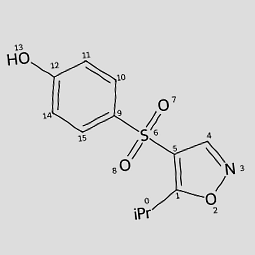 CC(C)c1oncc1S(=O)(=O)c1ccc(O)cc1